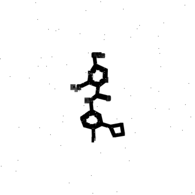 COc1cnc(C(=O)Nc2ccc(F)c(C3CCC3)c2)c(C)n1